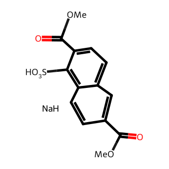 COC(=O)c1ccc2c(S(=O)(=O)O)c(C(=O)OC)ccc2c1.[NaH]